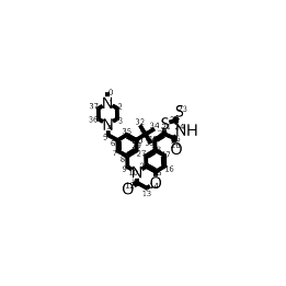 CN1CCN(Cc2cc(CN3C(=O)COc4ccc(C=C5SC(=S)NC5=O)cc43)cc(C(C)(C)C)c2)CC1